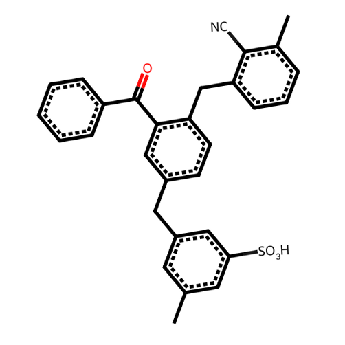 Cc1cc(Cc2ccc(Cc3cccc(C)c3C#N)c(C(=O)c3ccccc3)c2)cc(S(=O)(=O)O)c1